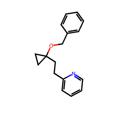 c1ccc(COC2(CCc3ccccn3)CC2)cc1